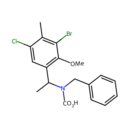 COc1c(C(C)N(Cc2ccccc2)C(=O)O)cc(Cl)c(C)c1Br